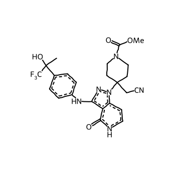 COC(=O)N1CCC(CC#N)(n2nc(Nc3ccc(C(C)(O)C(F)(F)F)cc3)c3c(=O)[nH]ccc32)CC1